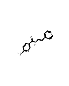 Nc1ccc(C(=O)NCCc2ccncc2)cn1